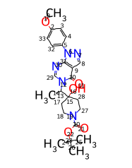 COc1ccc(-n2ncc3c(=O)n(C(C)C4(O)CCN(C(=O)OC(C)(C)C)CC4)cnc32)cc1